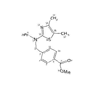 CCCN(Cc1ccc(C(=O)OC)cc1)c1nc(C)c(C)s1